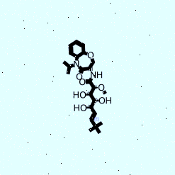 CO[C@@H](C(=O)N[C@H]1COC2C=CC=CC2N(C(C)C)C1=O)[C@H](O)[C@@H](O)[C@H](O)/C=C/C(C)(C)C